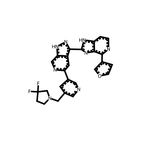 FC1(F)CCN(Cc2cncc(-c3cc4c(-c5nc6c(-c7ccoc7)nccc6[nH]5)n[nH]c4cn3)c2)C1